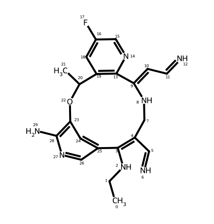 CCN/C1=C(\C=N)CN/C(=C\C=N)c2ncc(F)cc2C(C)Oc2cc1cnc2N